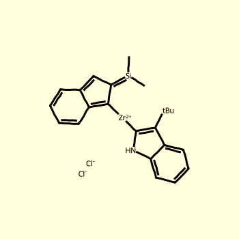 C[Si](C)=C1C=c2ccccc2=[C]1[Zr+2][c]1[nH]c2ccccc2c1C(C)(C)C.[Cl-].[Cl-]